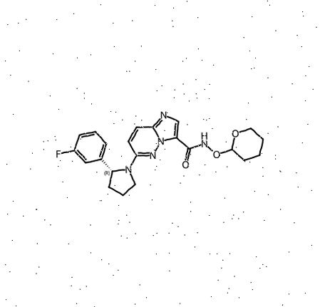 O=C(NOC1CCCCO1)c1cnc2ccc(N3CCC[C@@H]3c3cccc(F)c3)nn12